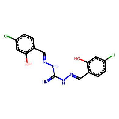 N=C(N/N=C/c1ccc(Cl)cc1O)N/N=C/c1ccc(Cl)cc1O